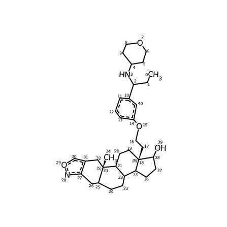 CCC(NC1CCOCC1)c1cccc(OCC[C@]23CCC4C(CCC5Cc6nocc6C[C@@]54C)C2CCC3O)c1